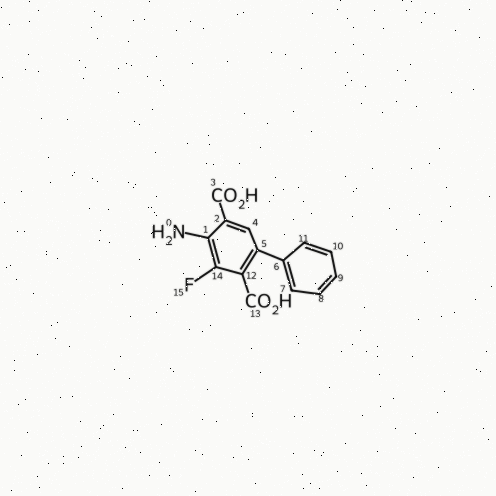 Nc1c(C(=O)O)cc(-c2ccccc2)c(C(=O)O)c1F